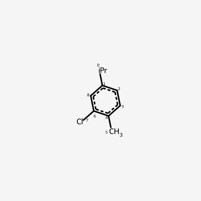 [CH2]C(C)c1ccc(C)c(Cl)c1